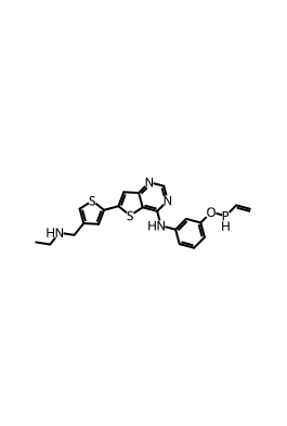 C=CPOc1cccc(Nc2ncnc3cc(-c4cc(CNCC)cs4)sc23)c1